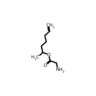 C=CCCCC(C)OC(=O)CN